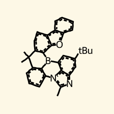 Cc1nc2cc(C(C)(C)C)cc3c2n1-c1cccc2c1B3c1c(ccc3c1oc1ccccc13)C2(C)C